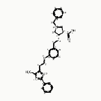 Cc1oc(-c2ccccc2)nc1CCOc1cccc(CC[C@@H]2CN(Cc3ccccc3)C[C@@H]2C(=O)O)c1